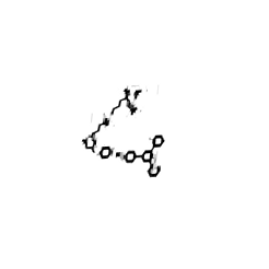 O=C(O)CN(CC(=O)O)C(CCCCNC(=O)CCCN1C(=O)CC(Sc2ccc(/N=N/c3ccc(-c4cc(-c5ccccn5)nc(-c5ccccn5)c4)cc3)cc2)C1=O)C(=O)O